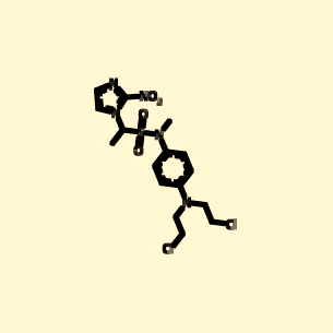 CC(n1ccnc1[N+](=O)[O-])S(=O)(=O)N(C)c1ccc(N(CCCl)CCCl)cc1